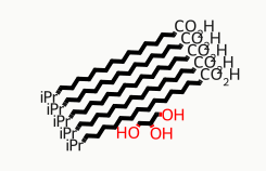 CC(C)CCCCCCCCCCCCCCC(=O)O.CC(C)CCCCCCCCCCCCCCC(=O)O.CC(C)CCCCCCCCCCCCCCC(=O)O.CC(C)CCCCCCCCCCCCCCC(=O)O.CC(C)CCCCCCCCCCCCCCC(=O)O.OCC(O)CO